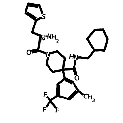 Cc1cc(C(F)(F)F)cc(C2(C(=O)NCC3CCCCC3)CCN(C(=O)[C@@H](N)Cc3cccs3)CC2)c1